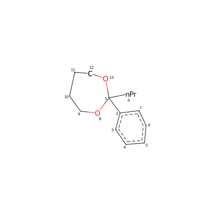 CCCC1(c2ccccc2)OCCCCO1